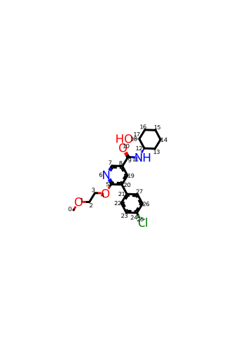 COCCOc1ncc(C(=O)N[C@@H]2CCCC[C@H]2O)cc1-c1ccc(Cl)cc1